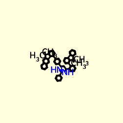 CC1(C)c2cc3ccccc3cc2-c2c(-c3ccc(/C=C/C(NC(=N)c4ccccc4)c4ccccc4-c4cccc5c4C(C)(C)c4ccccc4-5)cc3)cccc21